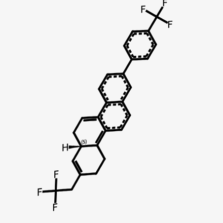 FC(F)(F)CC1=C[C@@H]2CC=c3c(ccc4cc(-c5ccc(C(F)(F)F)cc5)ccc34)=C2CC1